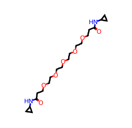 O=C(CCOCCOCCOCCOCCOCCC(=O)NC1CC1)NC1CC1